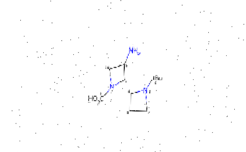 CC(C)(C)N1CCC1.NC1CN(C(=O)O)C1